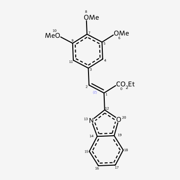 CCOC(=O)/C(=C\c1cc(OC)c(OC)c(OC)c1)c1nc2ccccc2o1